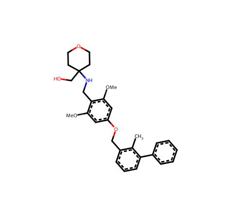 COc1cc(OCc2cccc(-c3ccccc3)c2C)cc(OC)c1CNC1(CO)CCOCC1